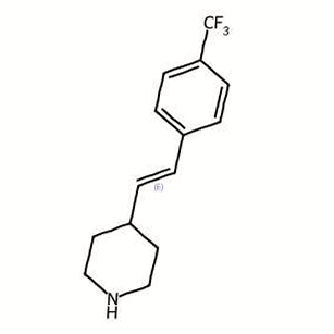 FC(F)(F)c1ccc(/C=C/C2CCNCC2)cc1